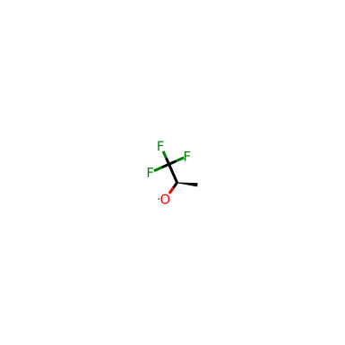 C[C@@H]([O])C(F)(F)F